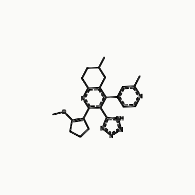 COC1=C(c2nc3c(c(-c4ccnc(C)c4)c2-c2nnn[nH]2)CC(C)CC3)CCC1